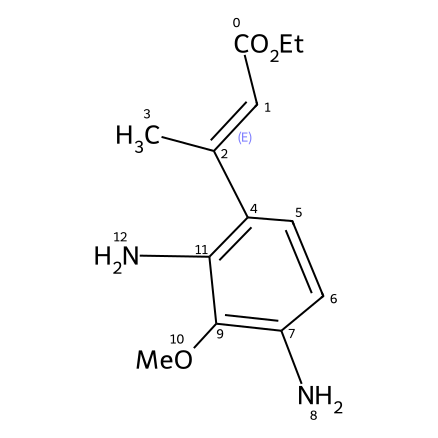 CCOC(=O)/C=C(\C)c1ccc(N)c(OC)c1N